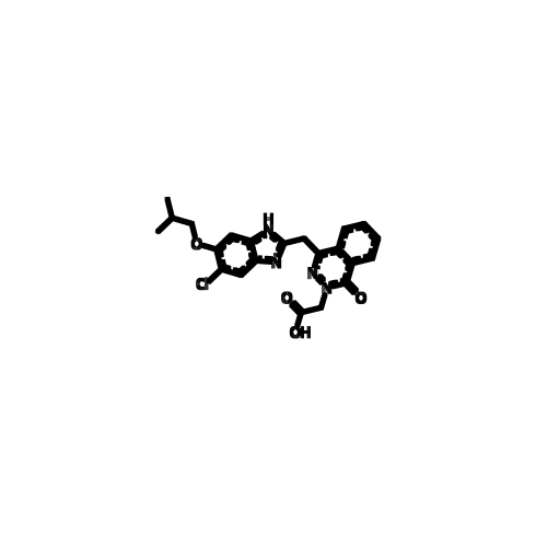 CC(C)COc1cc2[nH]c(Cc3nn(CC(=O)O)c(=O)c4ccccc34)nc2cc1Cl